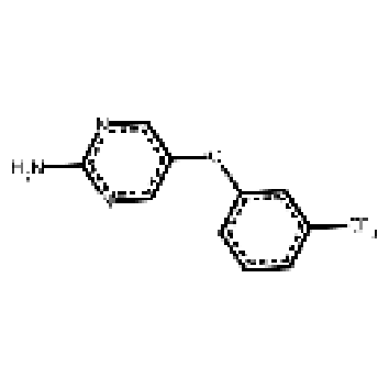 Nc1ncc(Oc2cccc(C(F)(F)F)c2)cn1